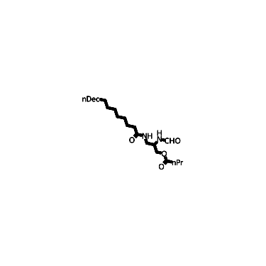 CCCCCCCCCCCCCCCCCC(=O)NCC(COC(=O)CCC)NC=O